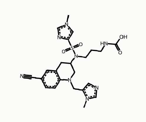 Cn1cnc(S(=O)(=O)N(CCCNC(=O)O)C2Cc3cc(C#N)ccc3N(Cc3cncn3C)C2)c1